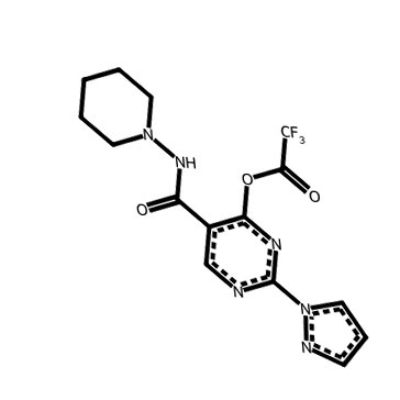 O=C(NN1CCCCC1)c1cnc(-n2cccn2)nc1OC(=O)C(F)(F)F